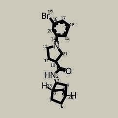 O=C(N[C@@H]1C[C@@H]2CC[C@H]1C2)C1CCN(c2cccc(Br)c2)C1